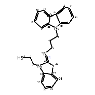 SCCn1/c(=N/CCCn2c3ccccc3c3ccccc32)sc2ccccc21